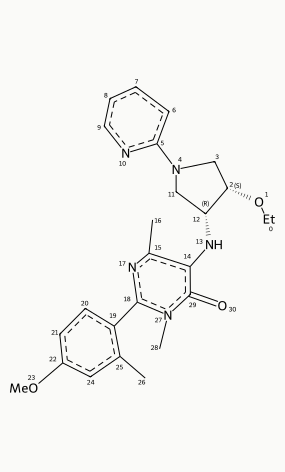 CCO[C@H]1CN(c2ccccn2)C[C@H]1Nc1c(C)nc(-c2ccc(OC)cc2C)n(C)c1=O